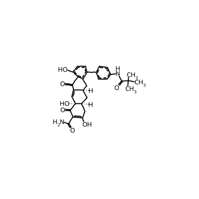 CC(C)(C)C(=O)Nc1ccc(-c2ccc(O)c3c2C[C@H]2C[C@H]4CC(O)=C(C(N)=O)C(=O)[C@@]4(O)C=C2C3=O)cc1